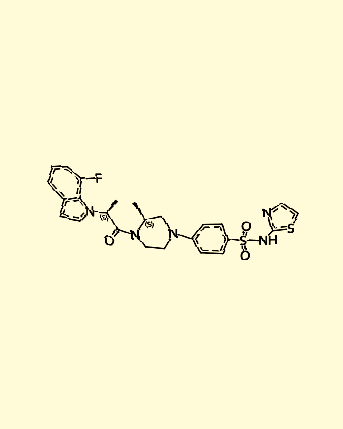 C[C@H]1CN(c2ccc(S(=O)(=O)Nc3nccs3)cc2)CCN1C(=O)[C@H](C)n1ccc2cccc(F)c21